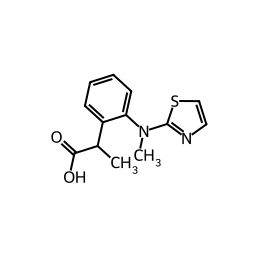 CC(C(=O)O)c1ccccc1N(C)c1nccs1